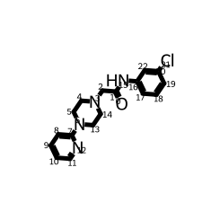 O=C(CN1CCN(c2ccccn2)CC1)Nc1cccc(Cl)c1